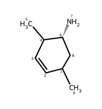 CC1C=CC(C)[C@H](N)C1